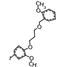 COc1ccccc1COCCCOc1ccc(I)cc1OC